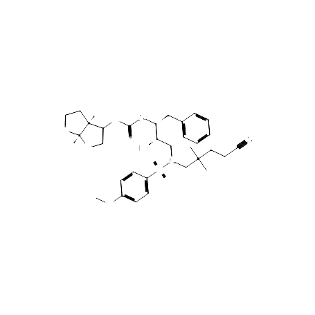 COc1ccc(S(=O)(=O)N(C[C@@H](O)[C@H](Cc2ccccc2)NC(=O)OC2CO[C@@H]3OCC[C@H]23)CC(C)(C)CCC#N)cc1